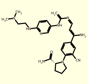 C=C(/N=C\C=C(/N)c1ccc(N2CCC[C@@H]2C(N)=O)c(C#N)c1)Nc1ccc(NCCN(C)C)nc1